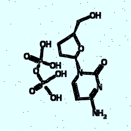 Nc1ccn([C@H]2CC[C@@H](CO)O2)c(=O)n1.O=P(O)(O)OP(=O)(O)O